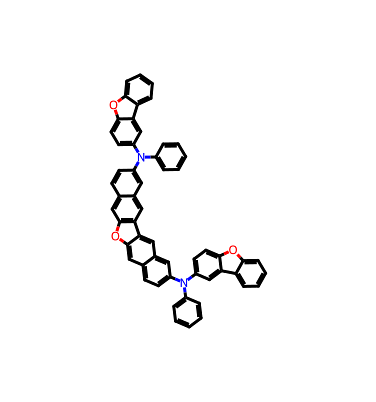 c1ccc(N(c2ccc3cc4oc5cc6ccc(N(c7ccccc7)c7ccc8oc9ccccc9c8c7)cc6cc5c4cc3c2)c2ccc3oc4ccccc4c3c2)cc1